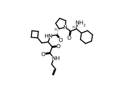 C=CCNC(=O)C(=O)C(CC1CCC1)NC(=O)[C@@H]1CCCN1C(=O)[C@@H](N)C1CCCCC1